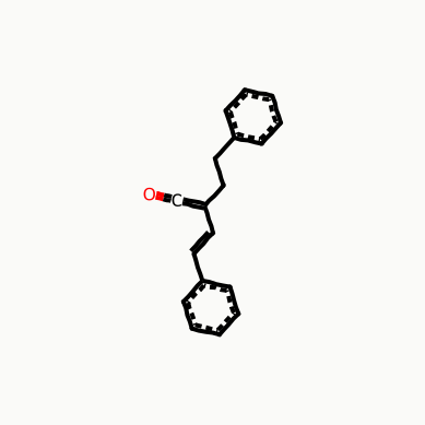 O=C=C(C=Cc1ccccc1)CCc1ccccc1